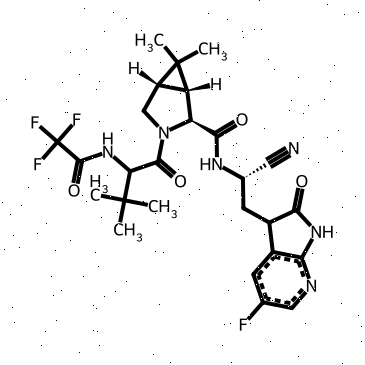 CC(C)(C)C(NC(=O)C(F)(F)F)C(=O)N1C[C@H]2[C@@H]([C@H]1C(=O)N[C@H](C#N)CC1C(=O)Nc3ncc(F)cc31)C2(C)C